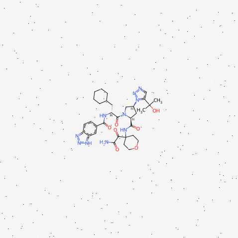 CC(C)(O)c1cnnn1[C@H]1C[C@@H](C(=O)NC2(C(=O)C(N)=O)CCOCC2)N(C(=O)[C@@H](CC2CCCCC2)NC(=O)c2ccc3nn[nH]c3c2)C1